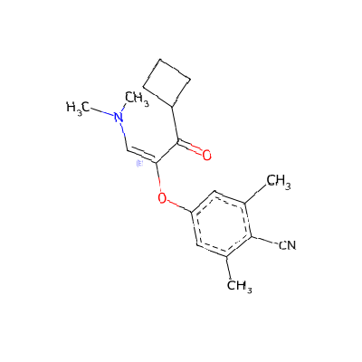 Cc1cc(O/C(=C/N(C)C)C(=O)C2CCC2)cc(C)c1C#N